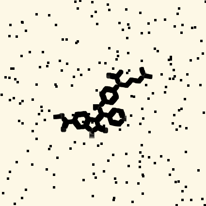 COC(=O)c1ccc2c(c1)NC(=O)C2=C(Nc1ccc(N(CCCN(C)C)C(C)=O)cc1)c1ccncc1